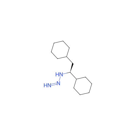 N=NN[C@@H](CC1CCCCC1)C1CCCCC1